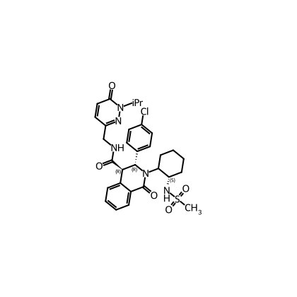 CC(C)n1nc(CNC(=O)[C@@H]2c3ccccc3C(=O)N(C3CCCC[C@@H]3NS(C)(=O)=O)[C@H]2c2ccc(Cl)cc2)ccc1=O